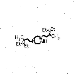 CCN(CC)C(C)CCN1C[CH2][AlH][N](CCC(C)N(CC)CC)CC1